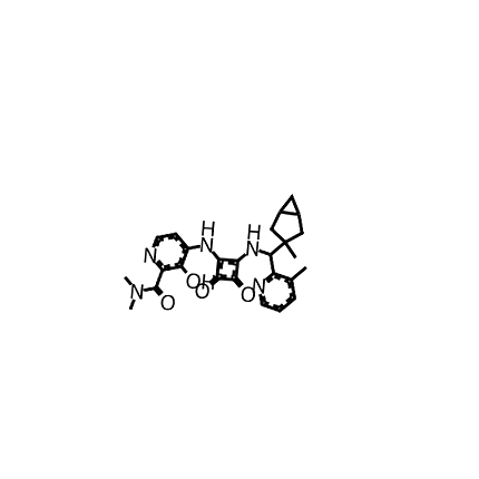 Cc1cccnc1C(Nc1c(Nc2ccnc(C(=O)N(C)C)c2O)c(=O)c1=O)C1(C)CC2CC2C1